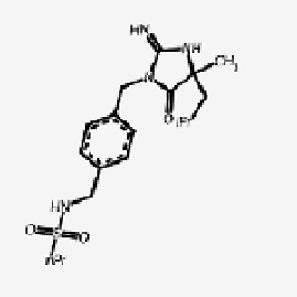 CCCS(=O)(=O)NCc1ccc(CN2C(=N)NC(C)(CC(C)C)C2=O)cc1